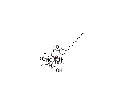 CCCCCCCCCCCC(CC(=O)O)CC(=O)O[C@@]12[C@H](O)[C@@H](C)[C@@]3(O)[C@@H](C=C(CO)C[C@]4(O)C(=O)C(C)=C[C@@H]34)[C@H]1C2(C)C